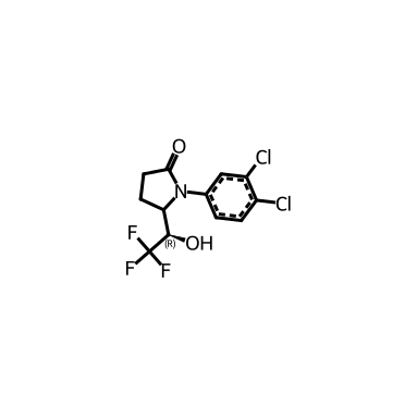 O=C1CCC([C@@H](O)C(F)(F)F)N1c1ccc(Cl)c(Cl)c1